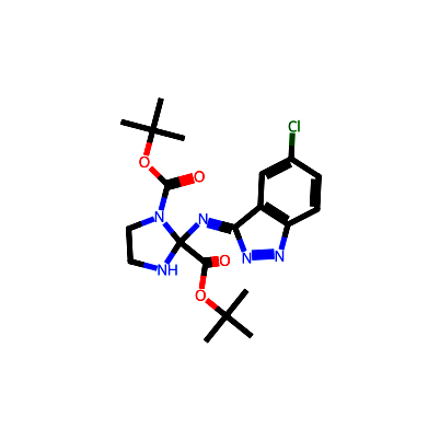 CC(C)(C)OC(=O)N1CCNC1(N=C1N=Nc2ccc(Cl)cc21)C(=O)OC(C)(C)C